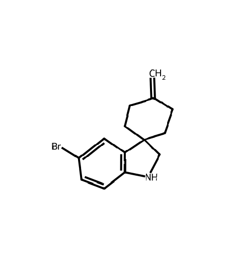 C=C1CCC2(CC1)CNc1ccc(Br)cc12